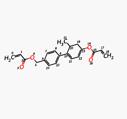 C=CC(=O)OCc1ccc(C2=CC=C(OC(=O)C=C)CC2C)cc1